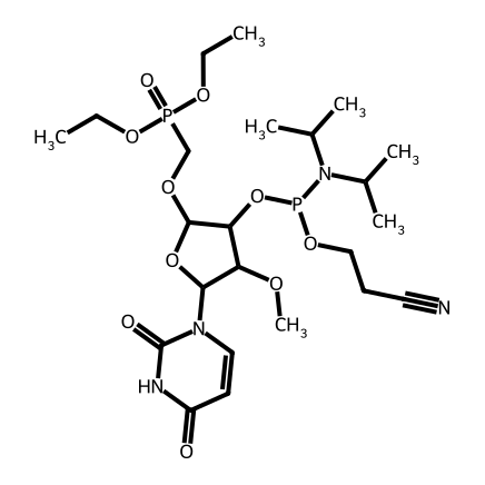 CCOP(=O)(COC1OC(n2ccc(=O)[nH]c2=O)C(OC)C1OP(OCCC#N)N(C(C)C)C(C)C)OCC